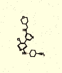 N[C@H]1CC[C@H](Nc2cc(-c3cncc(NCC4CCOCC4)c3)c(Cl)cn2)CC1